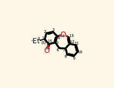 C[CH][C@H]1C=CC2=C(CC3C=CC=CC3=CO2)C1=O